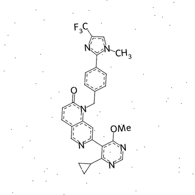 COc1ncnc(C2CC2)c1-c1cc2c(ccc(=O)n2Cc2ccc(-c3nc(C(F)(F)F)cn3C)cc2)cn1